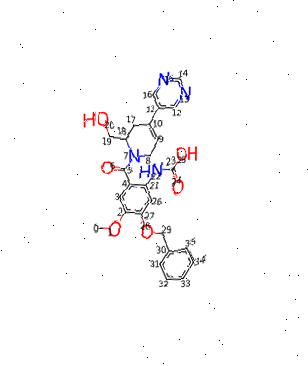 COc1cc(C(=O)N2CC=C(c3cncnc3)CC2CO)c(NC(=O)O)cc1OCc1ccccc1